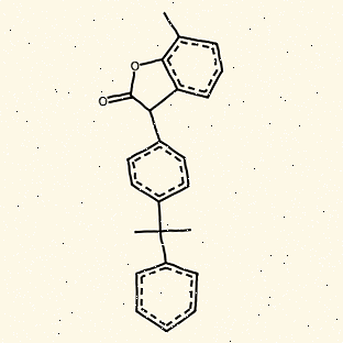 Cc1cccc2c1OC(=O)C2c1ccc(C(C)(C)c2ccccc2)cc1